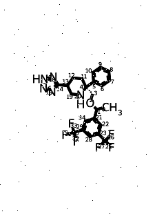 CC(OC[C@@]1(c2ccccc2)CCC(c2nn[nH]n2)CN1)c1cc(C(F)(F)F)cc(C(F)(F)F)c1